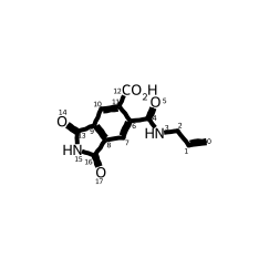 C=CCNC(=O)c1cc2c(cc1C(=O)O)C(=O)NC2=O